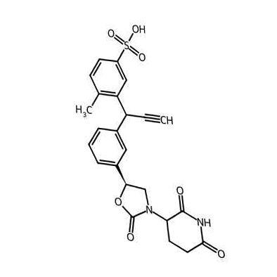 C#CC(c1cccc([C@H]2CN(C3CCC(=O)NC3=O)C(=O)O2)c1)c1cc(S(=O)(=O)O)ccc1C